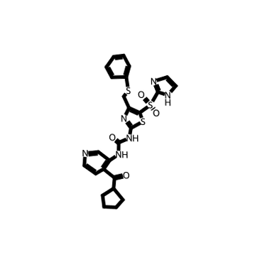 O=C(Nc1nc(CSc2ccccc2)c(S(=O)(=O)c2ncc[nH]2)s1)Nc1cnccc1C(=O)C1CCCC1